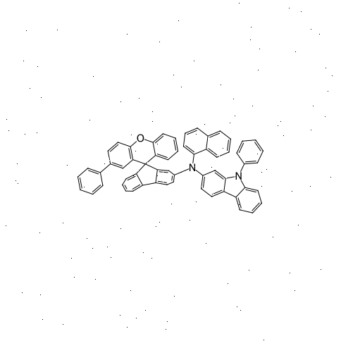 c1ccc(-c2ccc3c(c2)C2(c4ccccc4O3)c3ccccc3-c3ccc(N(c4ccc5c6ccccc6n(-c6ccccc6)c5c4)c4cccc5ccccc45)cc32)cc1